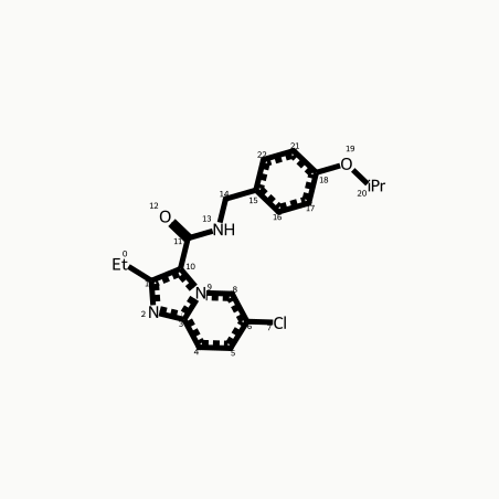 CCc1nc2ccc(Cl)cn2c1C(=O)NCc1ccc(OC(C)C)cc1